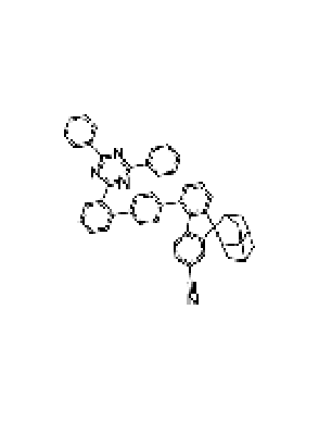 N#Cc1ccc2c(c1)C1(c3cccc(-c4ccc(-c5ccccc5-c5nc(-c6ccccc6)nc(-c6ccccc6)n5)cc4)c3-2)C2CC3CC(C2)CC1C3